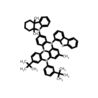 Cc1cc2c3c(c1)N(c1cccc4c1sc1ccccc14)c1cc(N4c5ccccc5C5(C)CCCCC45C)ccc1B3c1ccc(C(C)(C)C)cc1N2c1cccc(C(C)(C)C)c1